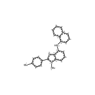 CCCCn1c(-c2ccc(C(C)(C)C)cc2)nc2c(Nc3cccc4ccccc34)cccc21